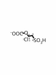 O=C([O-])OCCS(=O)(=O)O.[Cl+]